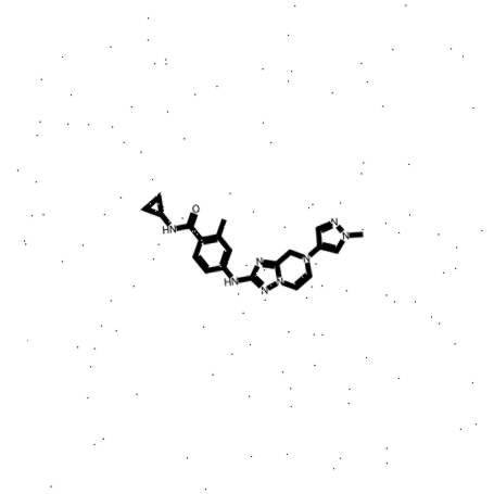 Cc1cc(Nc2nc3n(n2)C=CN(c2cnn(C)c2)C3)ccc1C(=O)NC1CC1